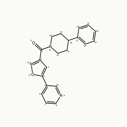 O=C(c1cc(-c2cccnc2)on1)N1CCC(c2ccccc2)CC1